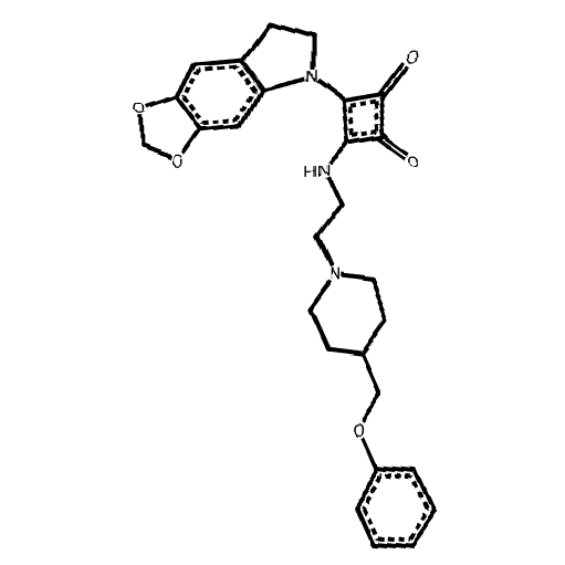 O=c1c(NCCN2CCC(COc3ccccc3)CC2)c(N2CCc3cc4c(cc32)OCO4)c1=O